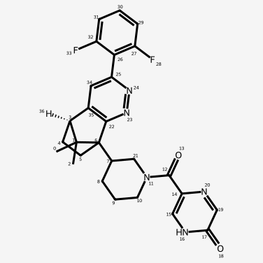 CC1(C)[C@H]2CCC1(C1CCCN(C(=O)c3c[nH]c(=O)cn3)C1)c1nnc(-c3c(F)cccc3F)cc12